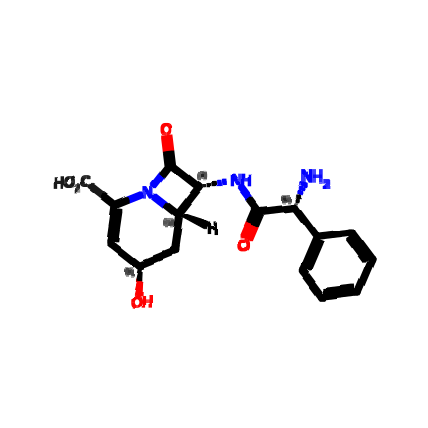 N[C@@H](C(=O)N[C@H]1C(=O)N2C(C(=O)O)=C[C@H](O)C[C@@H]12)c1ccccc1